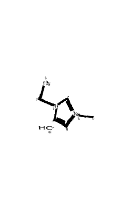 CCCCCn1cc[n+](C)c1.[OH-]